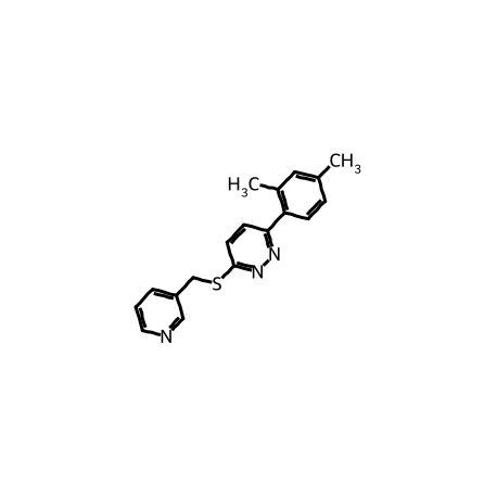 Cc1ccc(-c2ccc(SCc3cccnc3)nn2)c(C)c1